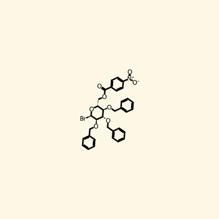 O=C(OC[C@H]1O[C@H](Br)[C@H](OCc2ccccc2)[C@@H](OCc2ccccc2)[C@@H]1OCc1ccccc1)c1ccc([N+](=O)[O-])cc1